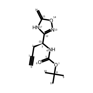 C#CC[C@H](NC(=O)OC(C)(C)C)C1=NOC(=C)N1